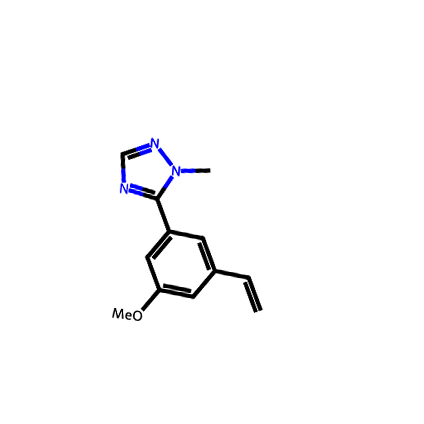 C=Cc1cc(OC)cc(-c2ncnn2C)c1